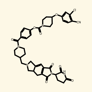 N#Cc1ccc(OC2CCN(C(=O)Oc3ccc(C(=O)N4CCC(CN5CC6=CC7=C(CC6C5)C(=O)N(C5CCC(=O)NC5=O)C7=O)CC4)cc3)CC2)cc1Cl